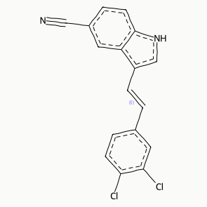 N#Cc1ccc2[nH]cc(/C=C/c3ccc(Cl)c(Cl)c3)c2c1